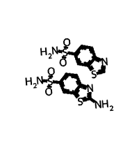 NS(=O)(=O)c1ccc2ncsc2c1.Nc1nc2ccc(S(N)(=O)=O)cc2s1